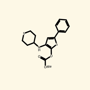 COC(=O)Oc1sc(-c2ccccc2)cc1NC1CCSCC1